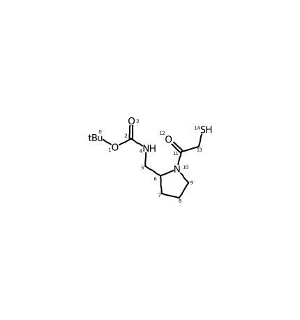 CC(C)(C)OC(=O)NCC1CCCN1C(=O)CS